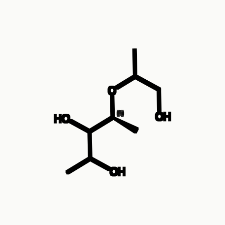 CC(CO)O[C@@H](C)C(O)C(C)O